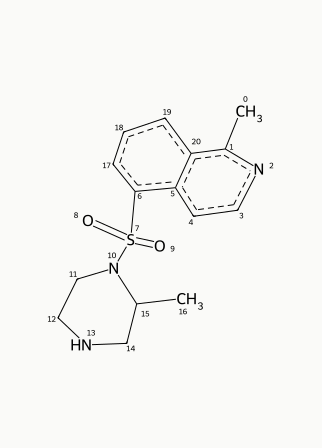 Cc1nccc2c(S(=O)(=O)N3CCNCC3C)cccc12